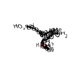 CN[C@H](CCCCNC(=O)COC1CCCCCc2c1nnn2CCOCCOCCOCCOCCC(=O)NCCS(=O)(=O)O)C(=O)N[C@H](C(=O)N[C@@H](CCCNC(N)=O)C(=O)Nc1ccc(COC(=O)Nc2ccc3c(c2)[C@@]2(C)CCC[C@](C)(C(=O)NC(=O)[C@@]4(C)CCC[C@]5(C)c6cc(O)ccc6CC[C@@H]45)[C@@H]2CC3)cc1)C(C)C